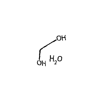 O.OCO